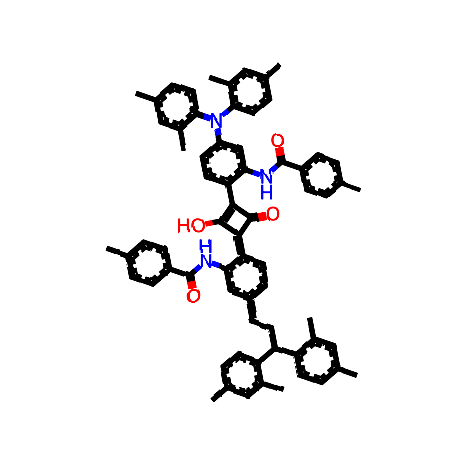 Cc1ccc(C(=O)Nc2cc(N(c3ccc(C)cc3C)c3ccc(C)cc3C)ccc2C2=C(O)/C(=c3/cc/c(=C\CC(c4ccc(C)cc4C)c4ccc(C)cc4C)cc3NC(=O)c3ccc(C)cc3)C2=O)cc1